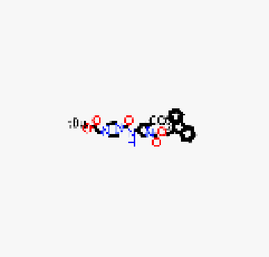 CC(C)(C)OC(=O)CN1CCN(C(=O)N[C@@H]2C[C@@H](C(=O)O)N(C(=O)OCC3c4ccccc4-c4ccccc43)C2)CC1